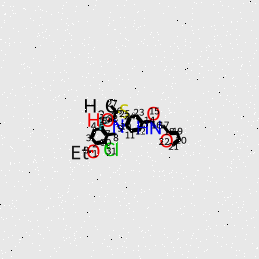 CCOc1ccc(F)c(CN2c3ccc(C(=O)NCc4ccco4)cc3SC(C)C2O)c1Cl